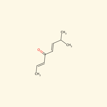 CC=CC(=O)C=CC(C)C